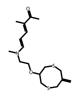 C=C1CSCC(OCCN(C)/C=C/C=C(\C)C(C)=O)CSC1